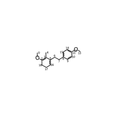 COC1=C(C)C(CCc2ccc(OC)cc2)=CCC1